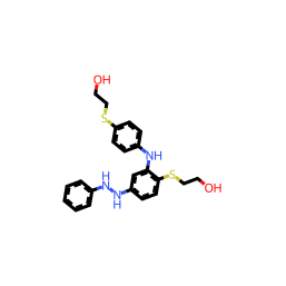 OCCSc1ccc(Nc2cc(NNc3ccccc3)ccc2SCCO)cc1